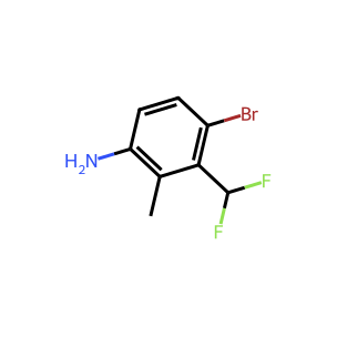 Cc1c(N)ccc(Br)c1C(F)F